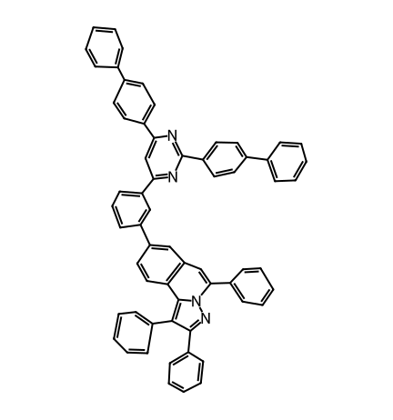 c1ccc(-c2ccc(-c3cc(-c4cccc(-c5ccc6c(c5)cc(-c5ccccc5)n5nc(-c7ccccc7)c(-c7ccccc7)c65)c4)nc(-c4ccc(-c5ccccc5)cc4)n3)cc2)cc1